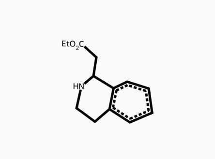 CCOC(=O)CC1NCCc2ccccc21